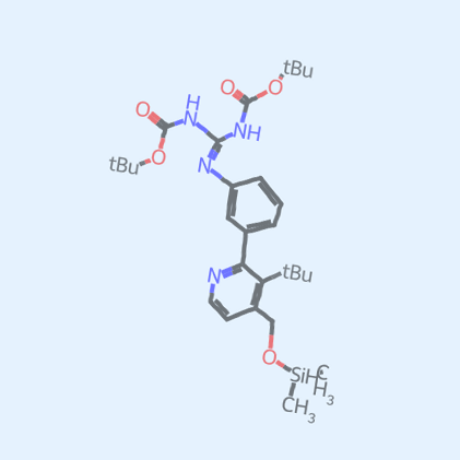 C[SiH](C)OCc1ccnc(-c2cccc(N=C(NC(=O)OC(C)(C)C)NC(=O)OC(C)(C)C)c2)c1C(C)(C)C